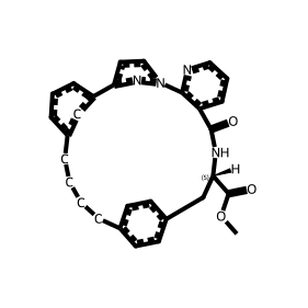 COC(=O)[C@@H]1Cc2ccc(cc2)CCCCc2cccc(c2)-c2ccn(n2)-c2ncccc2C(=O)N1